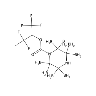 BC1(B)NC(B)(B)C(B)(B)N(C(=O)OC(C(F)(F)F)C(F)(F)F)C1(B)B